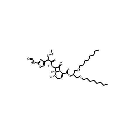 CCCCCCCCOCC(COCCCCCCCC)OC(=O)C1=CC[S+]([O-])[C@@H]2C(NC(=O)/C(=N\OC)c3csc(NC=O)n3)C(=O)N12